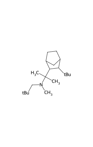 CN(CC(C)(C)C)C(C)(C)C1C2CCC(C2)C1C(C)(C)C